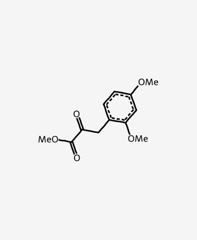 COC(=O)C(=O)Cc1ccc(OC)cc1OC